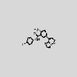 Cc1ccc(-c2ccnn3ccnc23)cc1C(=O)Nc1ccc(F)cc1